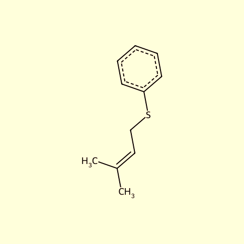 CC(C)=CCSc1ccccc1